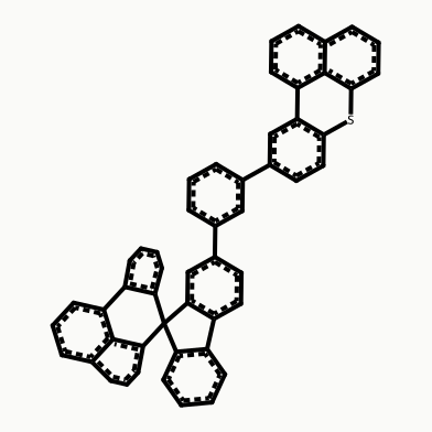 c1cc(-c2ccc3c(c2)-c2cccc4cccc(c24)S3)cc(-c2ccc3c(c2)C2(c4ccccc4-3)c3ccccc3-c3cccc4cccc2c34)c1